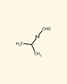 C[CH](C)[Be][CH]=O